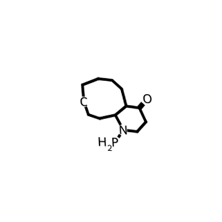 O=C1CCN(P)C2CCCCCCCC12